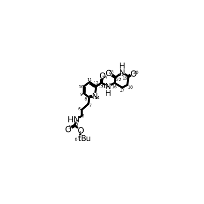 CC(C)(C)OC(=O)NCCCc1cccc(C(=O)NC2CCC(=O)NC2=O)n1